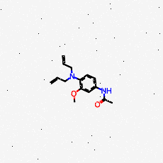 C=CCN(CC=C)c1ccc(NC(C)=O)cc1OC